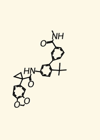 CNC(=O)c1cccc(-c2cc(NC(=O)C3(c4ccc5c(c4)OCO5)CC3)ccc2C(C)(C)C)c1